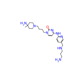 CC1(N)CCN(CCCCn2ccc(Nc3ccc(CNCCCN)cn3)nc2=O)CC1